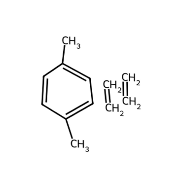 C=C.C=C.Cc1ccc(C)cc1